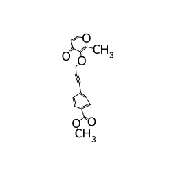 COC(=O)c1ccc(C#CCOc2c(C)occc2=O)cc1